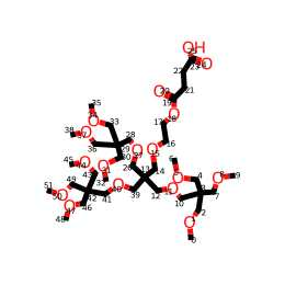 COCC(COC)(COC)COCC(COCCOC(=O)CCC(=O)O)(COCC(COC)(COC)COC)COCC(COC)(COC)COC